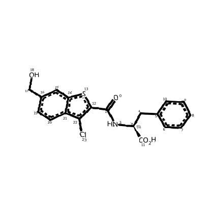 O=C(N[C@@H](Cc1ccccc1)C(=O)O)c1sc2cc(CO)ccc2c1Cl